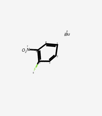 CC[C@H](C)c1ccc(F)c([N+](=O)[O-])c1